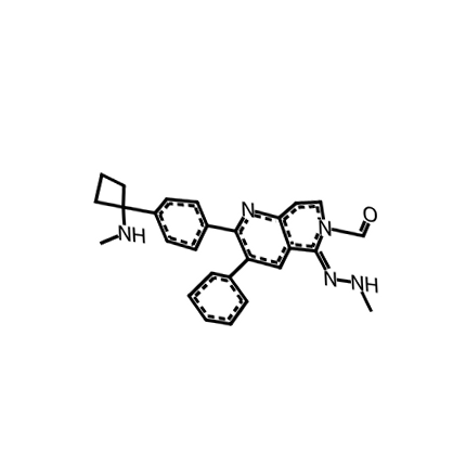 CN/N=c1/c2cc(-c3ccccc3)c(-c3ccc(C4(NC)CCC4)cc3)nc2ccn1C=O